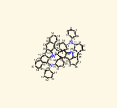 c1ccc(N(c2ccccc2)c2cccc3c4cccc5c6cc7c(cc6n(c23)c54)c2c3ccccc3cc3c4cc5ccccc5c(N(c5ccccc5)c5ccccc5)c4n7c32)cc1